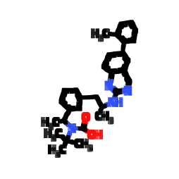 Cc1ccccc1-c1ccc2nc(N[C@@H](C)Cc3cccc([C@H](C)N(C(=O)O)C(C)(C)C)c3)ncc2c1